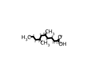 CCCC(C)CC(C)CCCC(=O)O